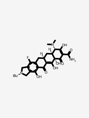 CC[C@@H](C)N1Cc2c(O)c3c(c(F)c2C1)C[C@H]1C[C@H]2[C@H](N(C)C)C(O)=C(C(N)=O)C(=O)[C@@]2(O)C(O)=C1C3=O